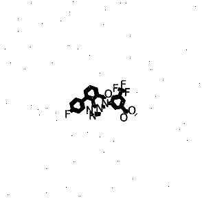 COC(=O)c1cc(C(F)(F)F)c2oc(-c3cccc(-c4ccc(F)cc4)c3-c3nncn3C)nc2c1